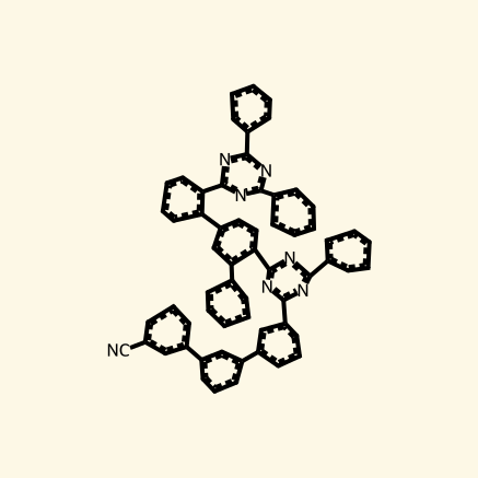 N#Cc1cccc(-c2cccc(-c3cccc(-c4nc(-c5ccccc5)nc(-c5ccc(-c6ccccc6-c6nc(-c7ccccc7)nc(-c7ccccc7)n6)cc5-c5ccccc5)n4)c3)c2)c1